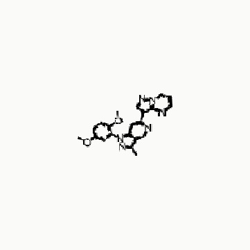 COc1ccc(OC)c(-n2nc(C)c3cnc(-c4cnn5cccnc45)cc32)c1